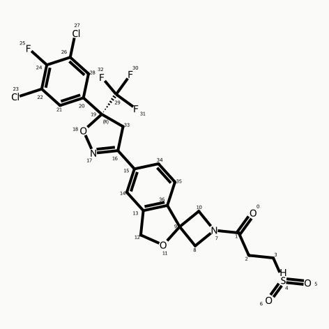 O=C(CC[SH](=O)=O)N1CC2(C1)OCc1cc(C3=NO[C@](c4cc(Cl)c(F)c(Cl)c4)(C(F)(F)F)C3)ccc12